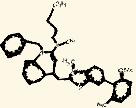 COc1cccc(OC)c1-c1ccc2c(c1)sc(/C=C1\C=C(N(C)CCCC(=O)O)N(Cc3ccccc3)c3ccccc31)[n+]2C